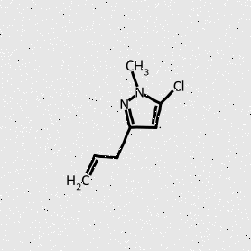 C=CCc1[c]c(Cl)n(C)n1